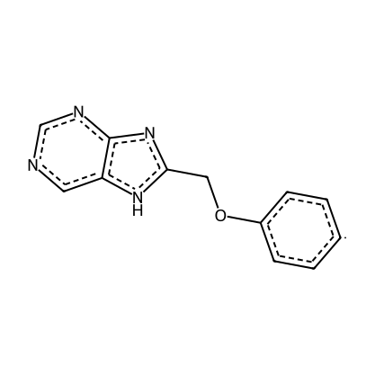 [c]1ccc(OCc2nc3ncncc3[nH]2)cc1